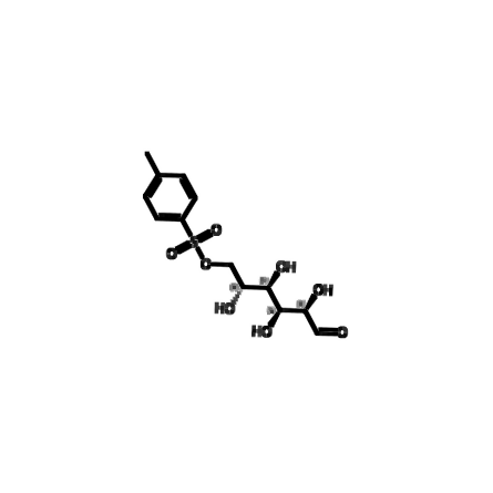 Cc1ccc(S(=O)(=O)OC[C@@H](O)[C@@H](O)[C@H](O)[C@@H](O)C=O)cc1